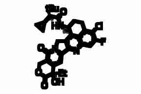 CC[C@@]1(O)C(=O)OCc2c1cc1n(c2=O)Cc2c-1nc1cc(F)c(Cl)c3c1c2[C@@H](NC(=O)[C@H](C1CC1)C(C)(C)C)CC3